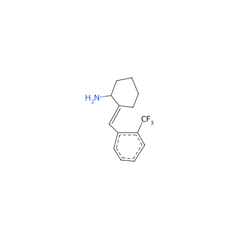 NC1CCCCC1=Cc1ccccc1C(F)(F)F